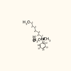 CCCCCCCC[N+](C)(C)c1ccccc1.[OH-]